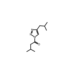 CC(C)CC(=O)n1cc(CC(C)C)nn1